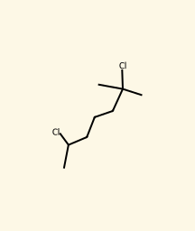 CC(Cl)CCCC(C)(C)Cl